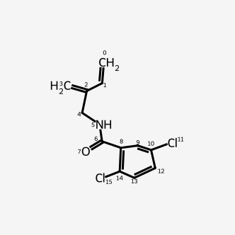 C=CC(=C)CNC(=O)c1cc(Cl)ccc1Cl